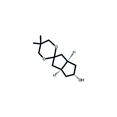 CC1(C)COC2(C[C@H]3C[C@H](O)C[C@H]3C2)OC1